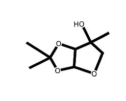 CC1(C)OC2OCC(C)(O)C2O1